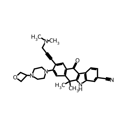 CN(C)CC#Cc1cc2c(cc1N1CCN(C3COC3)CC1)C(C)(C)c1[nH]c3cc(C#N)ccc3c1C2=O